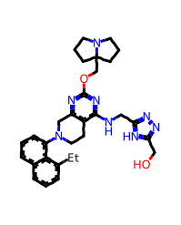 CCc1cccc2cccc(N3CCc4c(nc(OCC56CCCN5CCC6)nc4NCc4nnc(CO)[nH]4)C3)c12